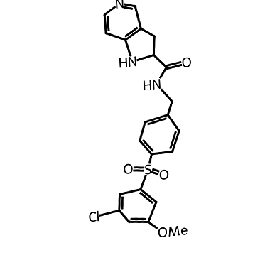 COc1cc(Cl)cc(S(=O)(=O)c2ccc(CNC(=O)C3Cc4cnccc4N3)cc2)c1